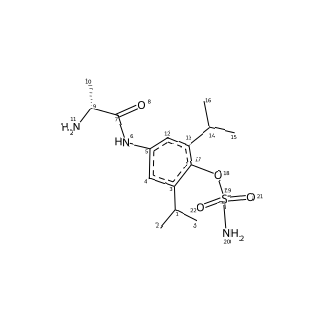 CC(C)c1cc(NC(=O)[C@@H](C)N)cc(C(C)C)c1OS(N)(=O)=O